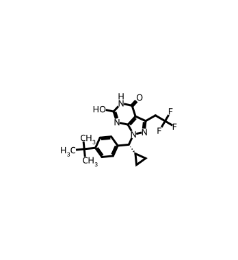 CC(C)(C)c1ccc([C@@H](C2CC2)n2nc(CC(F)(F)F)c3c(=O)[nH]c(O)nc32)cc1